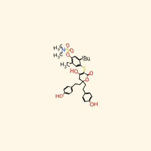 Cc1cc(SC2=C(O)CC(CCc3ccc(O)cc3)(CCc3ccc(O)cc3)OC2=O)c(C(C)(C)C)cc1OS(=O)(=O)N(C)C